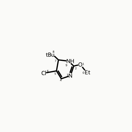 CCOC1=NC=C(Cl)C(C(C)(C)C)N1